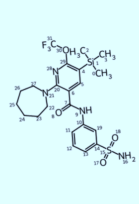 C[Si](C)(C)c1cc(C(=O)Nc2cccc(S(N)(=O)=O)c2)c(N2CCCCCC2)nc1OC(F)(F)F